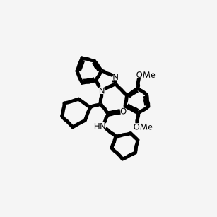 COc1ccc(OC)c(-c2nc3ccccc3n2C(C(=O)NC2CCCCC2)C2CCCCC2)c1